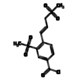 CS(=O)(=O)C/C=C/c1ccc(C(=O)Cl)cc1S(C)(=O)=O